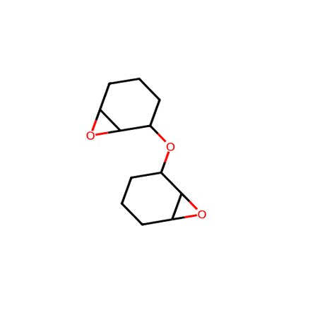 C1CC(OC2CCCC3OC23)C2OC2C1